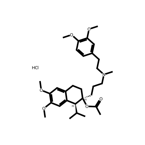 COc1ccc(CCN(C)CCC[C@@]2(OC(C)=O)CCc3cc(OC)c(OC)cc3[C@@H]2C(C)C)cc1OC.Cl